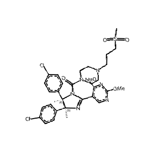 COc1ncc(C2=N[C@@](C)(c3ccc(Cl)cc3)[C@@](C)(c3ccc(Cl)cc3)N2C(=O)N2CCN(CCCS(C)(=O)=O)CC2)c(OC)n1